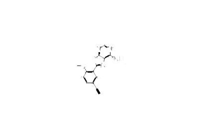 C#Cc1ccc(OC)c(-c2nc3c(N)ncnc3s2)c1